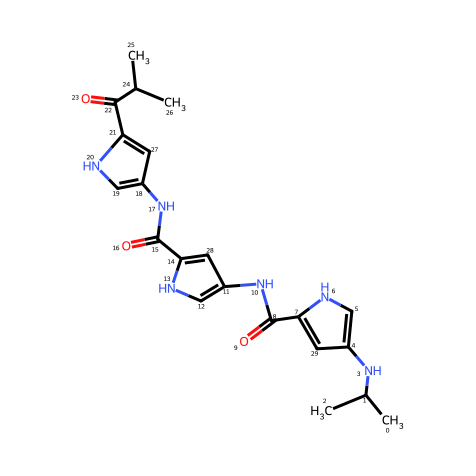 CC(C)Nc1c[nH]c(C(=O)Nc2c[nH]c(C(=O)Nc3c[nH]c(C(=O)C(C)C)c3)c2)c1